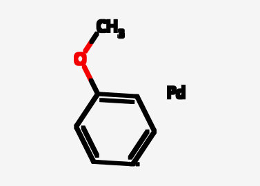 COc1cc[c]cc1.[Pd]